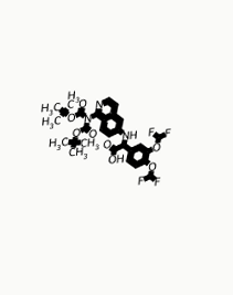 CC(C)(C)OC(=O)N(C(=O)OC(C)(C)C)c1nccc2cc(NC(C(=O)O)c3ccc(OC(F)F)c(OC(F)F)c3)ccc12